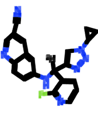 [2H]C(Nc1ccc2ncc(C#N)cc2c1)(c1cn(C2CC2)nn1)c1cccnc1F